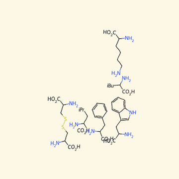 CC(C)CC(N)C(=O)O.CCC(C)C(N)C(=O)O.NC(CSSCC(N)C(=O)O)C(=O)O.NC(Cc1c[nH]c2ccccc12)C(=O)O.NC(Cc1ccccc1)C(=O)O.NCCCCC(N)C(=O)O